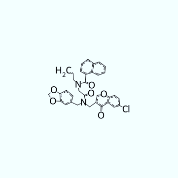 C=CCN(CC(=O)N(Cc1ccc2c(c1)OCO2)Cc1coc2ccc(Cl)cc2c1=O)C(=O)c1cccc2ccccc12